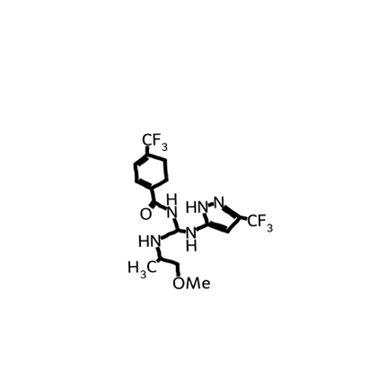 COCC(C)NC(NC(=O)C1=CC=C(C(F)(F)F)CC1)Nc1cc(C(F)(F)F)n[nH]1